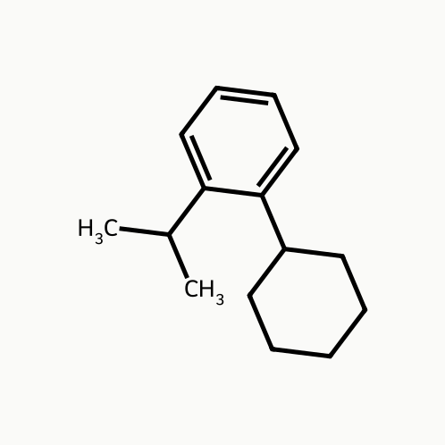 CC(C)c1ccccc1C1CCCCC1